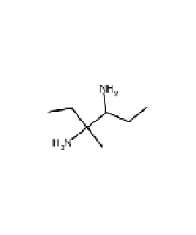 CCC(N)C(C)(N)CC